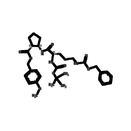 COc1ccc(COC(=O)[C@@H]2CCC[C@@H]2NC(=O)[C@H](CCCNC(=O)OCc2ccccc2)NC(=O)OC(C)(C)C)cc1